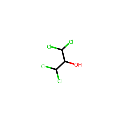 OC(C(Cl)Cl)C(Cl)Cl